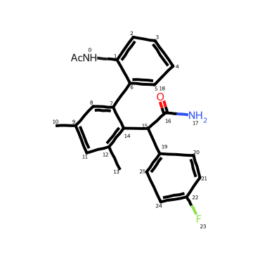 CC(=O)Nc1ccccc1-c1cc(C)cc(C)c1C(C(N)=O)c1ccc(F)cc1